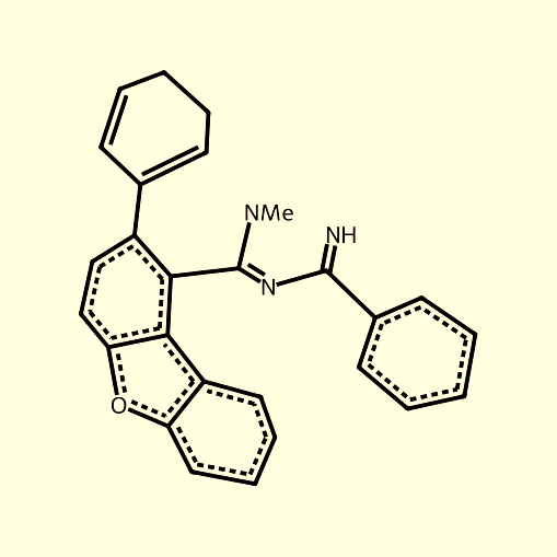 CN/C(=N\C(=N)c1ccccc1)c1c(C2=CCCC=C2)ccc2oc3ccccc3c12